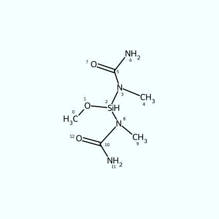 CO[SiH](N(C)C(N)=O)N(C)C(N)=O